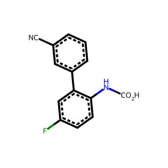 N#Cc1cccc(-c2cc(F)ccc2NC(=O)O)c1